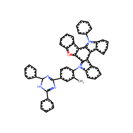 Cc1cc(C2=NC(c3ccccc3)NC(c3ccccc3)=N2)ccc1-n1c2ccccc2c2c3c4ccccc4n(-c4ccccc4)c3c3c4ccccc4oc3c21